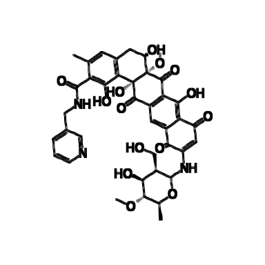 CO[C@@H]1[C@@H](O)[C@@H](CO)C(NC2=CC(=O)c3c(cc4c(c3O)C(=O)[C@]3(OC)[C@H](O)Cc5cc(C)c(C(=O)NCc6cccnc6)c(O)c5[C@]3(O)C4=O)C2=O)O[C@H]1C